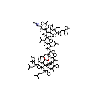 C/C=C/C[C@@H](C)[C@@H](OC(C)=O)[C@@H](C(=O)N[C@@H](CC)C(=O)N(C)CC(=O)OC)N(C)C(=O)[C@H](C(C)C)N(C)C(=O)[C@H](CC(C)C)N(C)C(=O)[C@H](CC(C)C)N(C)C(=O)[C@H](C)NC(=O)[C@@H](C)NC(=O)[C@H](CCC(C)C)N(C)C(=O)[C@@H](NC(=O)[C@H](CC(C)C)NC)C(C)C